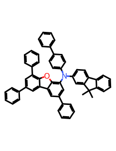 CC1(C)c2ccccc2-c2ccc(N(c3ccc(-c4ccccc4)cc3)c3cc(-c4ccccc4)cc4c3oc3c(-c5ccccc5)cc(-c5ccccc5)cc34)cc21